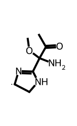 COC(N)(C(C)=O)C1=N[CH]CN1